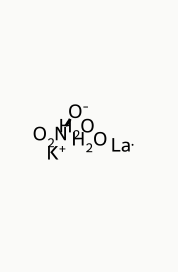 O.O.O=[N+]([O-])[O-].[K+].[La]